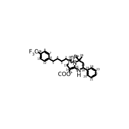 CCC[N+]1(CCCCc2ccc(C(F)(F)F)cc2)CC(C(=O)[O-])=C2NC(c3ccccc3)CC(C)(C)N21